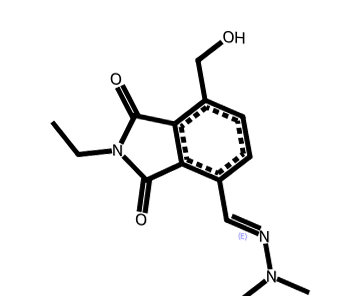 CCN1C(=O)c2c(/C=N/N(C)C)ccc(CO)c2C1=O